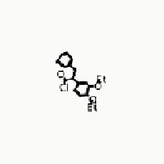 CCOc1ccc(C(Cc2ccccc2)C(=O)Cl)cc1OCC